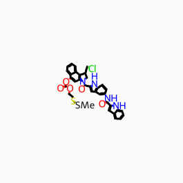 CSSCCOC(=O)Oc1cc2c(c3ccccc13)C(CCl)CN2C(=O)c1cc2cc(NC(=O)c3cc4ccccc4[nH]3)ccc2[nH]1